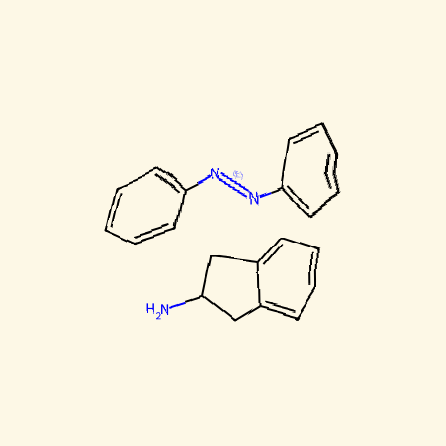 NC1Cc2ccccc2C1.c1ccc(/N=N/c2ccccc2)cc1